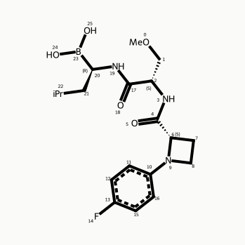 COC[C@H](NC(=O)[C@@H]1CCN1c1ccc(F)cc1)C(=O)N[C@@H](CC(C)C)B(O)O